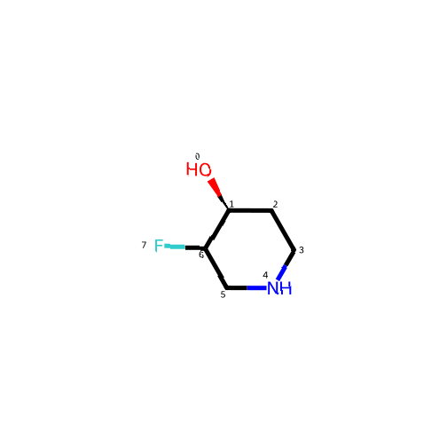 O[C@H]1CCNCC1F